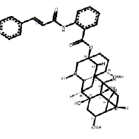 CCN1C[C@]2(OC(=O)c3ccccc3NC(=O)/C=C/c3ccncc3)CC[C@H](OC)[C@]34C1[C@@H](C[C@H]23)[C@@]1(O)C[C@H](OC)C2[C@H]3C[C@@H]4[C@]1(O)[C@@H]23